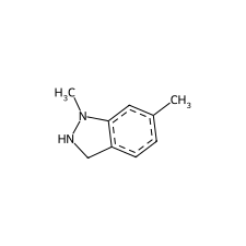 Cc1ccc2c(c1)N(C)NC2